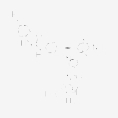 Cn1c(-c2nc(N)ncc2C#Cc2ccc(NC(=O)Nc3ccc(C(F)(F)F)cc3)cc2)cc2c1CCN(C(=O)OC(C)(C)C)C2=O